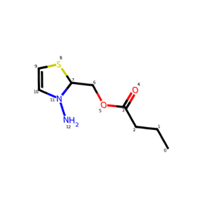 CCCC(=O)OCC1SC=CN1N